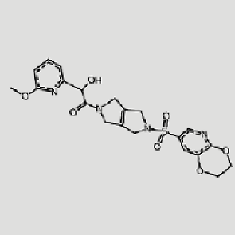 COc1cccc(C(O)C(=O)N2CC3=C(C2)CN(S(=O)(=O)c2cnc4c(c2)OCCO4)C3)n1